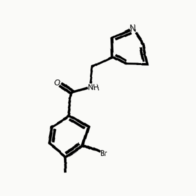 Cc1ccc(C(=O)NCc2cccnc2)cc1Br